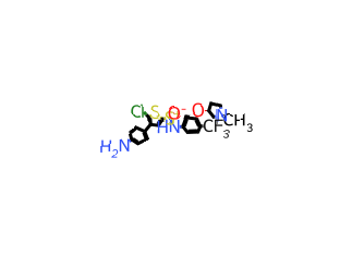 CN1CC[C@@H](Oc2cc(N[S+]([O-])c3cc(-c4ccc(N)cc4)c(Cl)s3)ccc2C(F)(F)F)C1